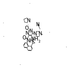 CN1CCC[C@H]1COc1nc(C(=O)Nc2cccc3cccc(C4CC4)c23)c(N)c(N2CCN(C)[C@@H](CC#N)C2)n1